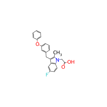 Cc1c(Cc2cccc(Oc3ccccc3)c2)c2cc(F)ccc2n1CC(=O)O